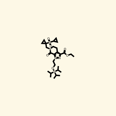 CCOC(=O)c1nn(CCO[Si](C(C)C)(C(C)C)C(C)C)c2c1CCN(CC1(S(=O)(=O)C3CC3)CC1)C2=O